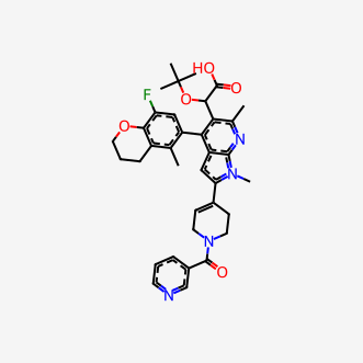 Cc1nc2c(cc(C3=CCN(C(=O)c4cccnc4)CC3)n2C)c(-c2cc(F)c3c(c2C)CCCO3)c1C(OC(C)(C)C)C(=O)O